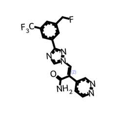 NC(=O)/C(=C\n1cnc(-c2cc(CF)cc(C(F)(F)F)c2)n1)c1ccnnc1